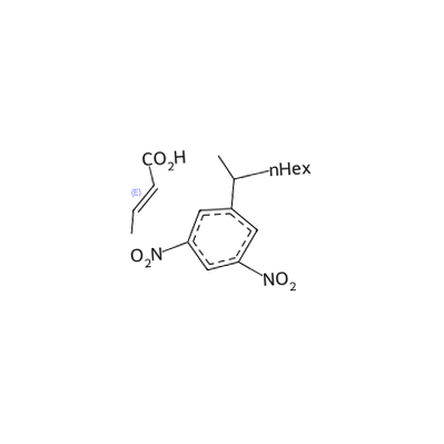 C/C=C/C(=O)O.CCCCCCC(C)c1cc([N+](=O)[O-])cc([N+](=O)[O-])c1